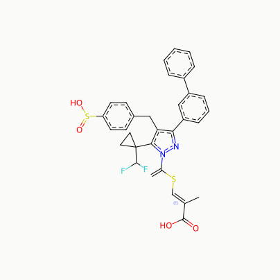 C=C(S/C=C(\C)C(=O)O)n1nc(-c2cccc(-c3ccccc3)c2)c(Cc2ccc(S(=O)O)cc2)c1C1(C(F)F)CC1